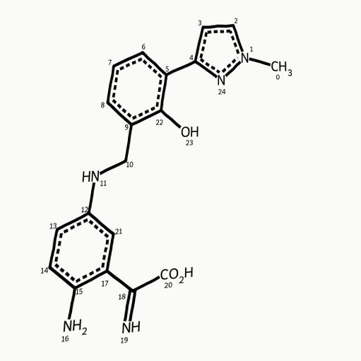 Cn1ccc(-c2cccc(CNc3ccc(N)c(C(=N)C(=O)O)c3)c2O)n1